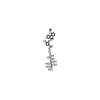 O=C(NCCOCC[S+]([O-])c1ccc(Cl)c(COC2(c3cnccc3-c3ccccc3OC3CC3)CC2)c1)NC[C@H](O)[C@@H](O)[C@H](O)[C@H](O)CO